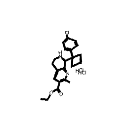 CCOC(=O)c1cc2c(nc1C)C(C1(c3ccc(Cl)cc3)CCC1)NCC2.Cl.Cl